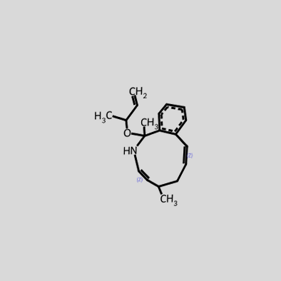 C=CC(C)OC1(C)N/C=C\C(C)C/C=C\c2ccccc21